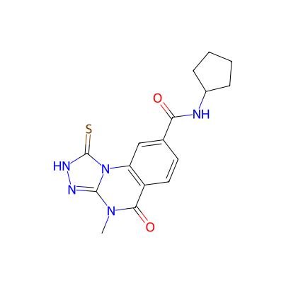 Cn1c(=O)c2ccc(C(=O)NC3CCCC3)cc2n2c(=S)[nH]nc12